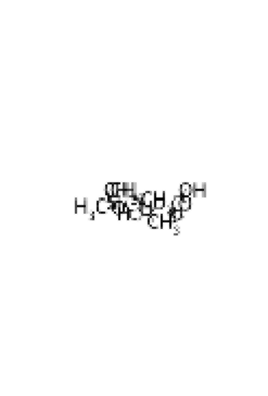 CC[Si](CC)(CC)O[C@@H]1CC[C@H](C)[C@H]2C(C(C)CCC[C@@H](CC(=O)O)c3cccs3)CC[C@@H]21